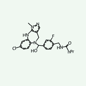 CCCC(=O)NCc1ccc(C(O)N2Cc3cnn(C)c3Nc3cc(Cl)ccc32)cc1F